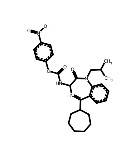 CC(C)CN1C(=O)C(NC(=O)Oc2ccc([N+](=O)[O-])cc2)N=C(C2CCCCCC2)c2ccccc21